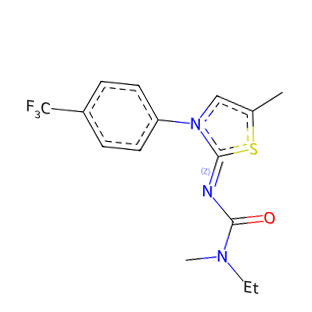 CCN(C)C(=O)/N=c1\sc(C)cn1-c1ccc(C(F)(F)F)cc1